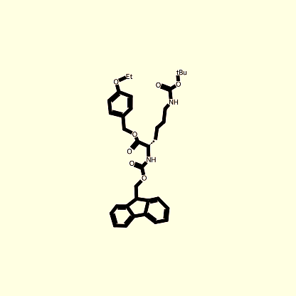 CCOc1ccc(COC(=O)[C@H](CCCCNC(=O)OC(C)(C)C)NC(=O)OCC2c3ccccc3-c3ccccc32)cc1